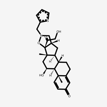 C[C@]12C=CC(=O)C=C1CC[C@@H]1[C@@H]2[C@@H](O)C[C@@]2(C)[C@H]1C[C@H]1CN(Cc3cccs3)O[C@]12C(=O)CO